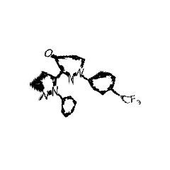 O=c1ccn(-c2ccc(C(F)(F)F)cc2)nc1-c1ccnn1-c1ccccc1